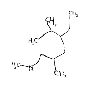 CCC(CC(C)CNC)C(C)C